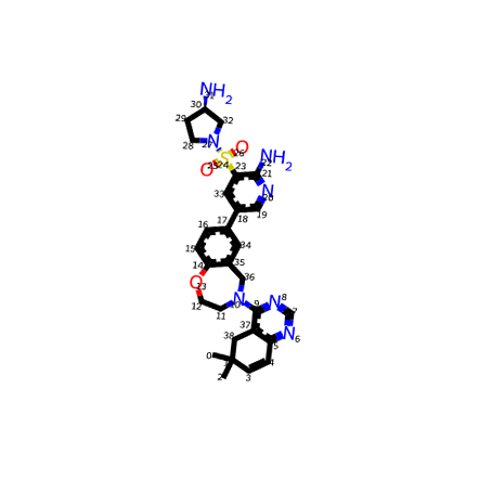 CC1(C)C=Cc2ncnc(N3CCOc4ccc(-c5cnc(N)c(S(=O)(=O)N6CC[C@@H](N)C6)c5)cc4C3)c2C1